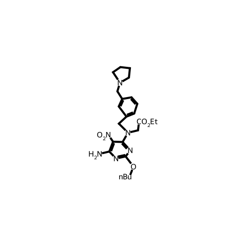 CCCCOc1nc(N)c([N+](=O)[O-])c(N(CC(=O)OCC)Cc2cccc(CN3CCCC3)c2)n1